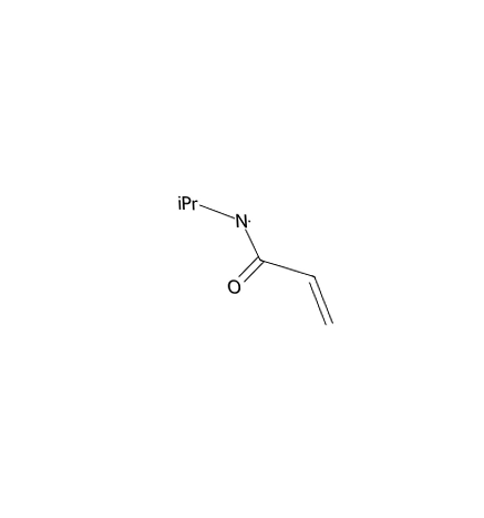 C=CC(=O)[N]C(C)C